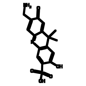 CC1(C)C2=CC(=O)C(CN)=CC2=Nc2cc(S(=O)(=O)O)c(O)cc21